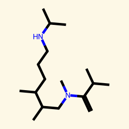 C=C(C(C)C)N(C)CC(C)C(C)CCCNC(C)C